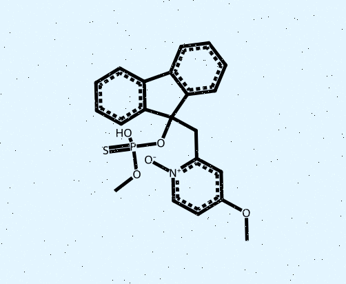 COc1cc[n+]([O-])c(CC2(OP(O)(=S)OC)c3ccccc3-c3ccccc32)c1